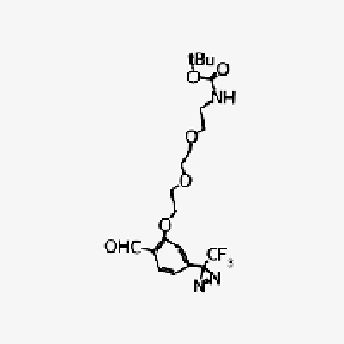 CC(C)(C)OC(=O)NCCOCCOCCOc1cc(C2(C(F)(F)F)N=N2)ccc1C=O